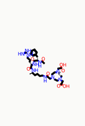 CC(=O)N[C@@H](Cc1ccccc1)C(=O)N[C@@H](CCCNC(=N)N)C(=O)N[C@H](C)CCCCNC(=O)CN1CCN(CC(=O)O)CCN(CC(=O)O)CC1